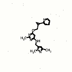 Cc1cc(CNc2cc(OCC3CC3c3ccccn3)nc(C)n2)n(C)n1